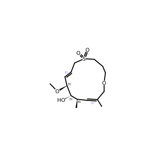 CO[C@H]1/C=C/CS(=O)(=O)CCCOC/C(C)=C\[C@@H](C)[C@@H]1O